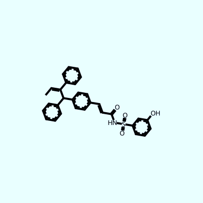 CC=C(c1ccccc1)C(c1ccccc1)c1ccc(C=CC(=O)NS(=O)(=O)c2cccc(O)c2)cc1